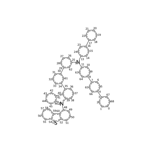 c1ccc(-c2ccc(-c3ccc(N(c4ccc(-c5ccccc5)cc4)c4cccc(-c5cccc(-c6cccc7c6c6ccccc6n7-c6cccc7sc8ccccc8c67)c5)c4)cc3)cc2)cc1